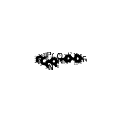 Cc1c(NC(=O)c2ccc(-c3ccc(F)cc3)cc2)ccc2cc(CN3CCCC3CC(C)C)cnc12